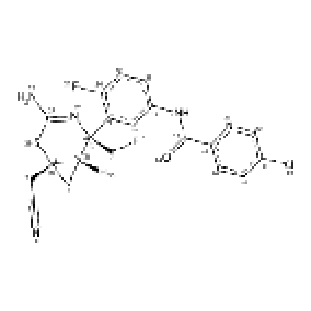 N#CC[C@]12C[C@H]1[C@@](CF)(c1cc(NC(=O)c3ccc(Cl)cn3)ccc1F)N=C(N)S2